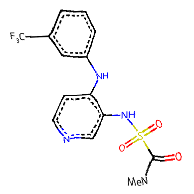 CNC(=O)S(=O)(=O)Nc1cnccc1Nc1cccc(C(F)(F)F)c1